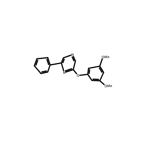 COc1cc(OC)cc(Oc2cncc(-c3ccccc3)n2)c1